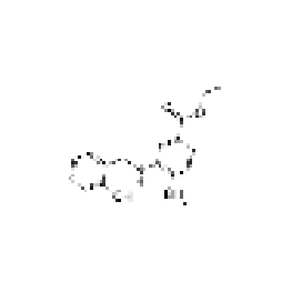 CCOC(=O)c1ccc(N)c(NCc2ccccc2O)c1